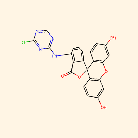 O=C1OC2(c3ccc(O)cc3Oc3cc(O)ccc32)c2cccc(Nc3n[c]nc(Cl)n3)c21